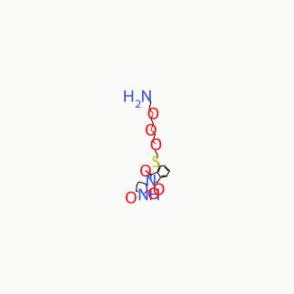 NCCOCCOCCOCCSc1cccc2c1C(=O)N(C1CCC(=O)NC1=O)C2=O